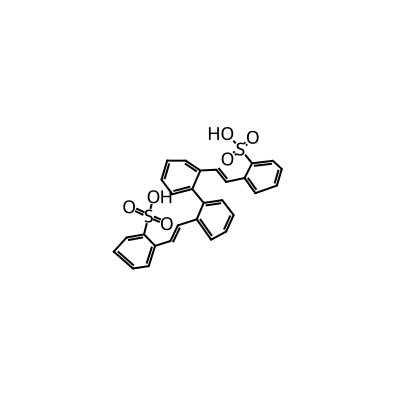 O=S(=O)(O)c1ccccc1C=Cc1ccccc1-c1ccccc1C=Cc1ccccc1S(=O)(=O)O